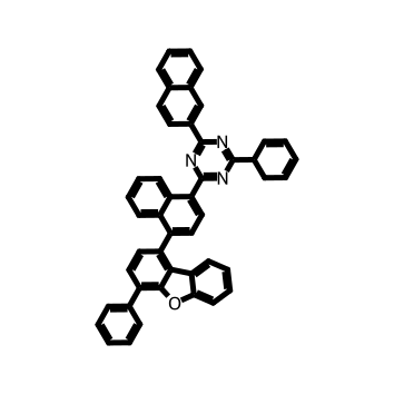 C1=CCC(c2nc(-c3ccc4ccccc4c3)nc(-c3ccc(-c4ccc(-c5ccccc5)c5oc6ccccc6c45)c4ccccc34)n2)C=C1